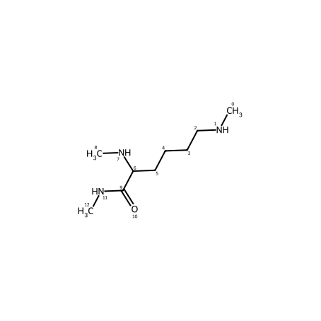 CNCCCCC(NC)C(=O)NC